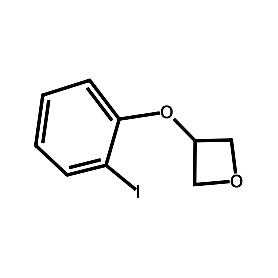 Ic1ccccc1OC1COC1